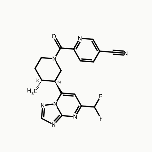 C[C@@H]1CCN(C(=O)c2ccc(C#N)cn2)C[C@H]1c1cc(C(F)F)nc2ncnn12